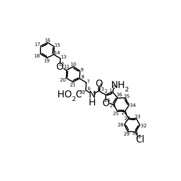 Nc1c(C(=O)N[C@@H](Cc2ccc(OCc3ccccc3)cc2)C(=O)O)oc2cc(-c3ccc(Cl)cc3)ccc12